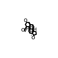 C[C@]12CC[C@H]3[C@@H](CCC4=CC(=O)CC(C5CO5)[C@@H]43)[C@@H]1CCC2=O